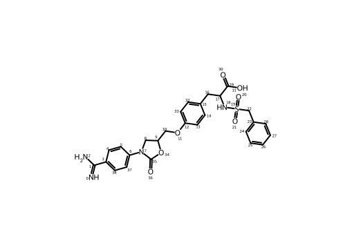 N=C(N)c1ccc(N2CC(COc3ccc(CC(NS(=O)(=O)Cc4ccccc4)C(=O)O)cc3)OC2=O)cc1